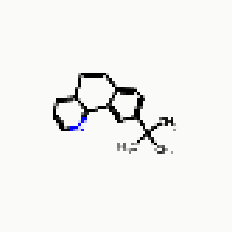 CC(C)(C)c1ccc2ccc3cccnc3c2c1